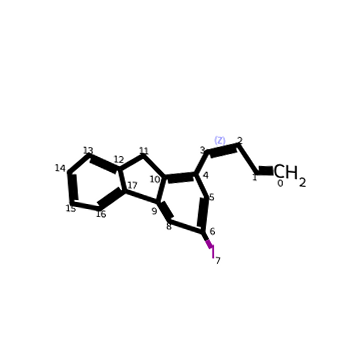 C=C/C=C\c1cc(I)cc2c1Cc1ccccc1-2